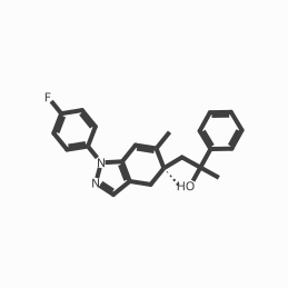 CC1=Cc2c(cnn2-c2ccc(F)cc2)C[C@]1(C)CC(C)(O)c1ccccc1